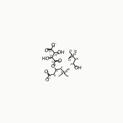 C[N+](C)(C)CC(CC(=O)[O-])OC(=O)C(O)C(O)C(=O)[O-].C[N+](C)(C)CCO